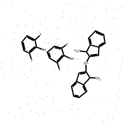 CC1[C]([Zr+2][C]2=Cc3ccccc3C2C)=Cc2ccccc21.[NH-]c1c(F)cccc1F.[NH-]c1c(F)cccc1F